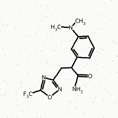 CN(C)c1cccc(C(Cc2noc(C(F)(F)F)n2)C(N)=O)c1